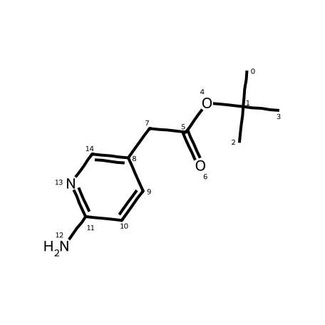 CC(C)(C)OC(=O)Cc1ccc(N)nc1